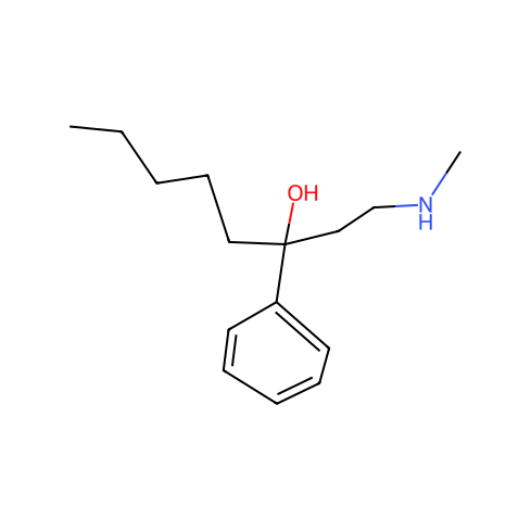 CCCCCC(O)(CCNC)c1ccccc1